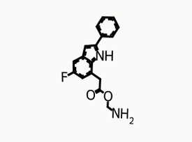 NCOC(=O)Cc1cc(F)cc2cc(-c3ccccc3)[nH]c12